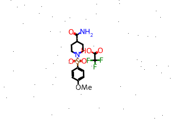 COc1ccc(S(=O)(=O)N2CCC(C(N)=O)CC2)cc1.O=C(O)C(F)(F)F